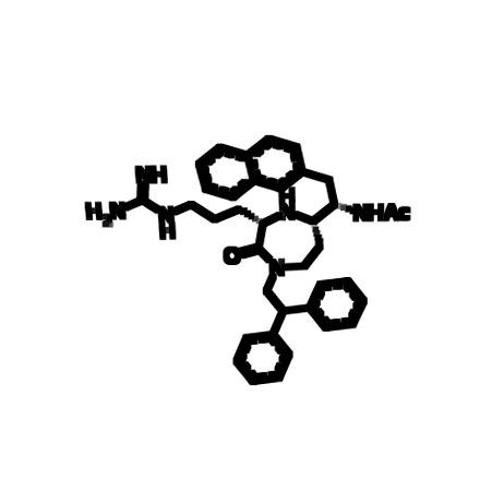 CC(=O)N[C@@H](Cc1ccc2ccccc2c1)[C@@H]1CCN(CC(c2ccccc2)c2ccccc2)C(=O)[C@H](CCCNC(=N)N)N1